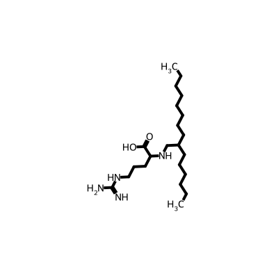 CCCCCCCCC(CCCCCC)CNC(CCCNC(=N)N)C(=O)O